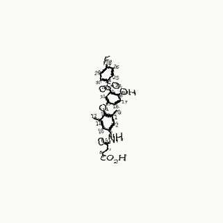 Cc1cc(NC(=O)CCC(=O)O)cc(C)c1Oc1ccc(O)c(S(=O)(=O)c2ccc(F)cc2)c1